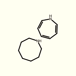 C1=CC=CNC=C1.C1CCCNCCC1